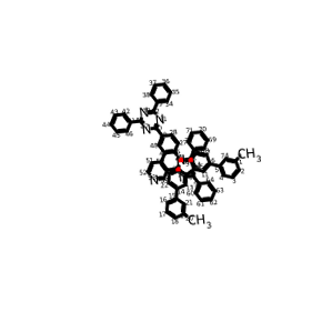 Cc1cccc(-c2ccc3c(c2)c2cc(-c4cccc(C)c4)ccc2n3-c2ccc(-c3nc(-c4ccccc4)nc(-c4ccccc4)n3)cc2-c2ccncc2-c2nc(-c3ccccc3)nc(-c3ccccc3)n2)c1